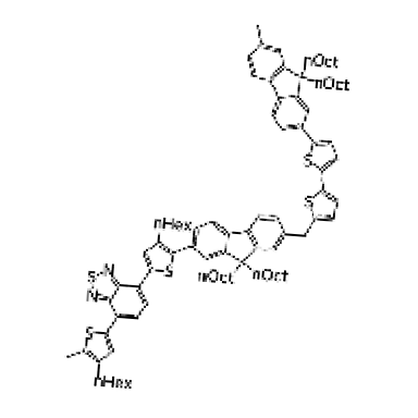 CCCCCCCCC1(CCCCCCCC)c2cc(C)ccc2-c2ccc(-c3ccc(-c4ccc(Cc5ccc6c(c5)C(CCCCCCCC)(CCCCCCCC)c5cc(-c7sc(-c8ccc(-c9cc(CCCCCC)c(C)s9)c9nsnc89)cc7CCCCCC)ccc5-6)s4)s3)cc21